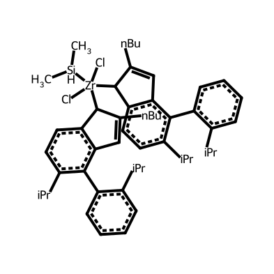 CCCCC1=Cc2c(ccc(C(C)C)c2-c2ccccc2C(C)C)[CH]1[Zr]([Cl])([Cl])([CH]1C(CCCC)=Cc2c1ccc(C(C)C)c2-c1ccccc1C(C)C)[SiH](C)C